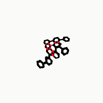 c1ccc(-c2ccc(-c3ccccc3N(c3ccc(-c4cccc(-c5ccccc5)c4)cc3)c3cccc(-c4ccccc4)c3-c3ccccc3-c3ccccc3)cc2)cc1